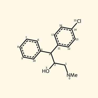 CNCC(O)C(c1ccccc1)c1ccc(Cl)cc1